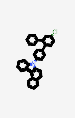 Clc1ccc(-c2ccc(-n3c4ccccc4c4c5ccccc5ccc43)cc2)c(-c2ccccc2)c1